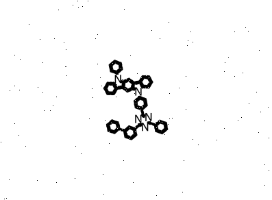 c1ccc(-c2cccc(-c3nc(-c4ccccc4)nc(-c4ccc(-n5c6ccccc6c6cc7c(cc65)c5ccccc5n7-c5ccccc5)cc4)n3)c2)cc1